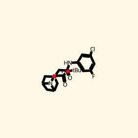 CC(C)(C)NC(=O)CN1C2CC1CN(CC(=O)Nc1cc(F)cc(Cl)c1)C2